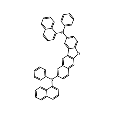 c1ccc(N(c2ccc3cc4oc5ccc(N(c6ccccc6)c6cccc7ccccc67)cc5c4cc3c2)c2cccc3ccccc23)cc1